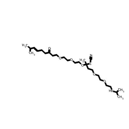 CC(C)/C=C/CCC(=O)CCOCCOCCOC(C)(CCOCCOCCNC(C)C)SC#N